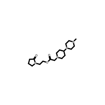 CN1CCN(C2CCN(CC(=O)OCCN3CCCC3=O)CC2)CC1